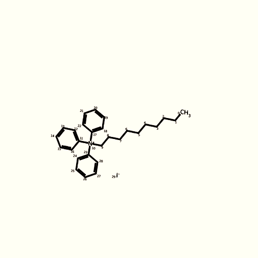 CCCCCCCCCC[N+](c1ccccc1)(c1ccccc1)c1ccccc1.[I-]